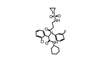 O=C(NC1CCCCC1)C(c1ccccc1Cl)N(C(=O)CCNS(=O)(=O)N1CC1)c1cccc(F)c1